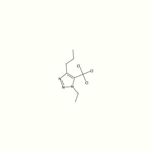 CCCc1nnn(CC)c1C(Cl)(Cl)Cl